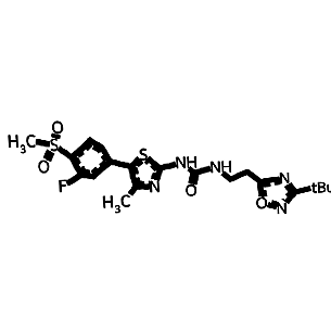 Cc1nc(NC(=O)NCCc2nc(C(C)(C)C)no2)sc1-c1ccc(S(C)(=O)=O)c(F)c1